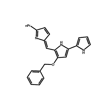 CCCC1=NC(=Cc2[nH]c(-c3ccc[nH]3)cc2OCc2ccccc2)C=C1